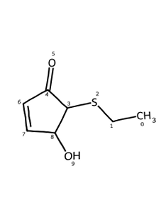 CCSC1C(=O)C=CC1O